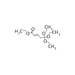 CCOC(=O)C=CCC(OCC)(OCC)OCC